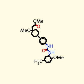 COC(=O)CC1(OC)CCC(c2ccc(NC(=O)Nc3cc(C)ccc3OC)cc2)CC1